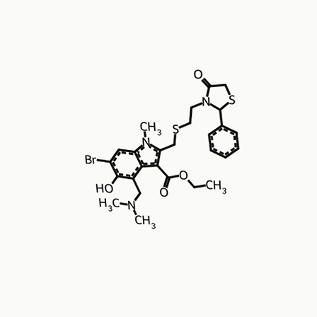 CCOC(=O)c1c(CSCCN2C(=O)CSC2c2ccccc2)n(C)c2cc(Br)c(O)c(CN(C)C)c12